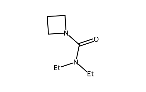 CCN(CC)C(=O)N1CCC1